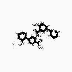 COc1ccccc1-c1ccc(C(=O)O)c(NC(=O)c2cc(-c3ccccn3)ccc2O)c1